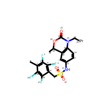 Cc1c(F)c(F)c(CS(=O)(=O)Nc2ccc3c(c2)C(C)OC(=O)N3CC(C)C)c(F)c1F